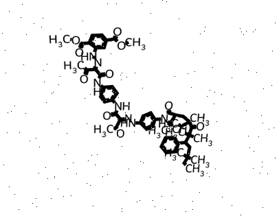 CCC(C)(C)CC(c1ccccc1)C(C)(C)C(=O)C(C)(CC)CC1C(=O)N(c2ccc(N/N=C(\C(C)=O)C(=O)Nc3ccc(NC(=O)/C(=N/Nc4cc(C(=O)OC)ccc4C(=O)OC)C(C)=O)cc3)cc2)C1(C)C